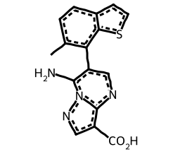 Cc1ccc2ccsc2c1-c1cnc2c(C(=O)O)cnn2c1N